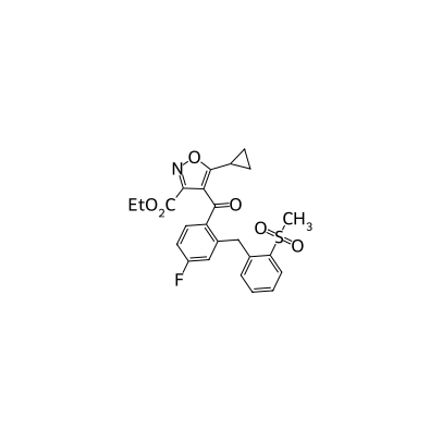 CCOC(=O)c1noc(C2CC2)c1C(=O)c1ccc(F)cc1Cc1ccccc1S(C)(=O)=O